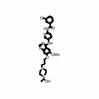 COc1cc2c(Nc3ccc(NC(=O)c4cccc(Cl)c4)nc3)ncnc2cc1OCCCN1CCN(C(C)O)CC1